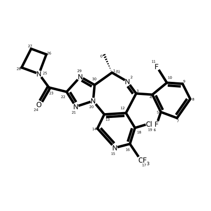 C[C@@H]1N=C(c2c(F)cccc2F)c2c(cnc(C(F)(F)F)c2Cl)-n2nc(C(=O)N3CCC3)nc21